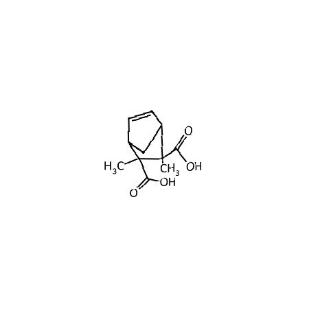 CC1(C(=O)O)C2C=CC(C2)C1(C)C(=O)O